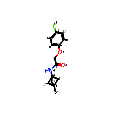 [CH2]C12CC(NC(=O)COc3ccc(F)cc3)(C1)C2